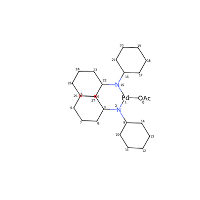 CC(=O)[O][Pd]([N](C1CCCCC1)C1CCCCC1)[N](C1CCCCC1)C1CCCCC1